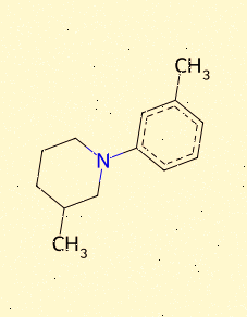 Cc1cccc(N2CCCC(C)C2)c1